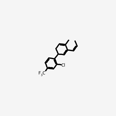 C/C=C\C1=CC(c2ccc(C(F)(F)F)cc2Cl)CC=C1C